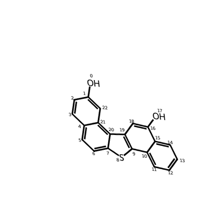 Oc1ccc2ccc3sc4c5ccccc5c(O)cc4c3c2c1